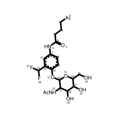 CC(=O)CCCC(=O)Nc1ccc(OC2OC(CO)C(O)C(O)C2NC(C)=O)c(C(F)F)c1